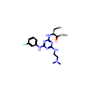 COC(=O)[C@H](CC(C)C)Nc1nc(NCCN(C)C)nc(Nc2cccc(F)c2)n1